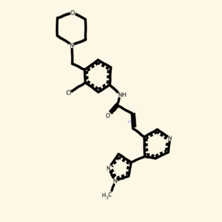 Cn1cc(-c2ccncc2/C=C/C(=O)Nc2ccc(CN3CCOCC3)c(Cl)c2)cn1